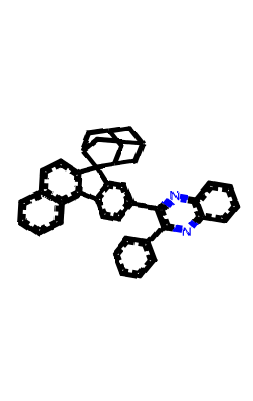 c1ccc(-c2nc3ccccc3nc2-c2ccc3c(c2)C2(c4ccc5ccccc5c4-3)C3CC4CC(C3)CC2C4)cc1